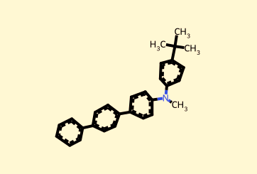 CN(c1ccc(-c2ccc(-c3ccccc3)cc2)cc1)c1ccc(C(C)(C)C)cc1